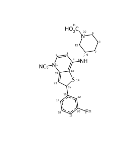 N#CN1C=CC(N[C@H]2CCCN(C(=O)O)C2)=C2SC(c3cccc(F)c3)C=C21